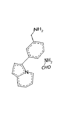 NC=O.NCc1cccc(-c2ccc3ccccn23)c1